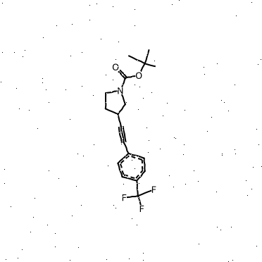 CC(C)(C)OC(=O)N1CCC(C#Cc2ccc(C(F)(F)F)cc2)C1